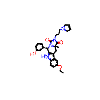 CCOc1ccc2[nH]c3c(c2c1)CC1(C)C(=O)N(CCCN2CC=CC2)C(=O)N1C3c1cccc(O)c1